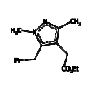 CCOC(=O)Cc1c(C)nn(C)c1CC(C)C